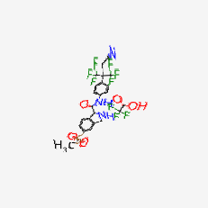 CS(=O)(=O)c1ccc2c(c1)CNC2C(=O)Nc1ccc(C(CC#N)(C(F)(F)F)C(F)(F)F)cc1.O=C(O)C(F)(F)F